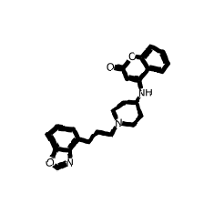 O=c1cc(NC2CCN(CCCc3cccc4ocnc34)CC2)c2ccccc2o1